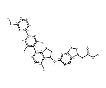 COC(=O)CC1COc2cc(O[C@@H]3CCc4c(-c5c(C)cc(-c6ccnc(OC)c6)cc5C)ccc(F)c43)ccc21